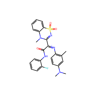 Cc1cc(N(C)C)ccc1/N=C(\C(=O)Nc1ccccc1F)C1=NS(=O)(=O)c2ccccc2N1C